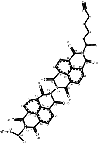 C#CCCCCC(C)N1C(=O)c2ccc3c4c(ccc(c24)C1=O)C(=O)N(N1C(=O)c2ccc4c5c(ccc(c25)C1=O)C(=O)N(C(C)CCCCC)C4=O)C3=O